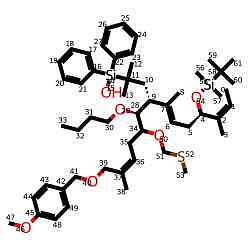 C/C=C(/C)[C@@H](C/C=C(\C)[C@@H](CC(C)(C)[Si](O)(c1ccccc1)c1ccccc1)[C@H](OCCCC)C(C/C=C(/C)COCc1ccc(OC)cc1)OCSC)O[Si](C)(C)C(C)(C)C